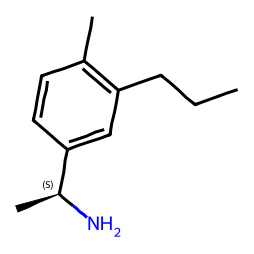 CCCc1cc([C@H](C)N)ccc1C